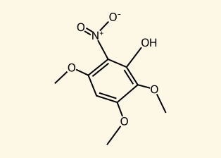 COc1cc(OC)c([N+](=O)[O-])c(O)c1OC